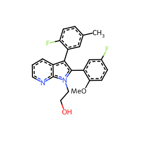 COc1ccc(F)cc1-c1c(-c2cc(C)ccc2F)c2cccnc2n1CCO